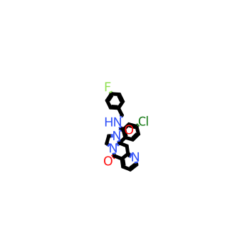 O=C(NCc1ccc(F)cc1)N1CCN2C(=O)c3cccnc3CC12c1ccc(Cl)cc1